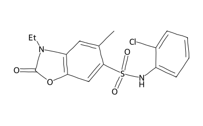 CCn1c(=O)oc2cc(S(=O)(=O)Nc3ccccc3Cl)c(C)cc21